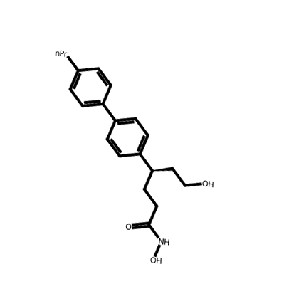 CCCc1ccc(-c2ccc([C@@H](CCO)CCC(=O)NO)cc2)cc1